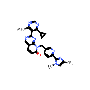 COc1ncnc(C2CC2)c1-c1ncc2ccc(=O)n(Cc3ccc(-c4nc(C(F)(F)F)cn4C)nc3)c2n1